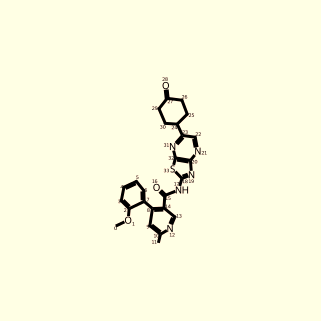 COc1ccccc1-c1cc(C)ncc1C(=O)Nc1nc2ncc(C3CCC(=O)CC3)nc2s1